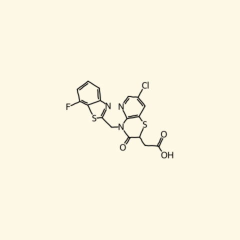 O=C(O)CC1Sc2cc(Cl)cnc2N(Cc2nc3cccc(F)c3s2)C1=O